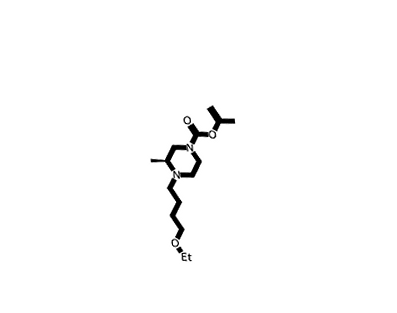 C=C(C)OC(=O)N1CCN(CCCCOCC)[C@@H](C)C1